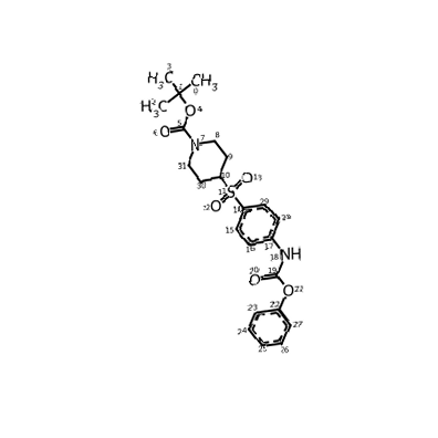 CC(C)(C)OC(=O)N1CCC(S(=O)(=O)c2ccc(NC(=O)Oc3ccccc3)cc2)CC1